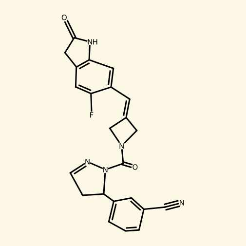 N#Cc1cccc(C2CC=NN2C(=O)N2CC(=Cc3cc4c(cc3F)CC(=O)N4)C2)c1